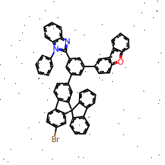 Brc1ccc2c(c1)C1(c3ccccc3-c3ccccc31)c1cc(-c3cc(-c4ccc5oc6ccccc6c5c4)cc(-c4nc5ccccc5n4-c4ccccc4)c3)ccc1-2